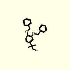 [CH2]CC(C)(C)c1ccc(OCc2ccccc2)c(OCc2ccccc2)c1